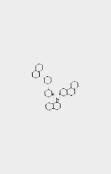 c1cc(-c2cccc(N(c3ccc4c(ccc5ccccc54)c3)c3cccc4ccccc34)c2)cc(-c2cccc3ccccc23)c1